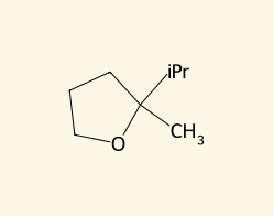 CC(C)C1(C)CCCO1